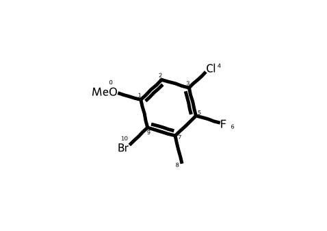 COc1cc(Cl)c(F)c(C)c1Br